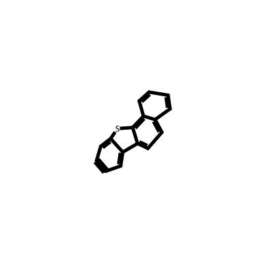 c1cc2sc3c4ccccc4ccc3c2cc#1